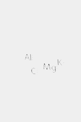 [Al].[C].[K].[Mg]